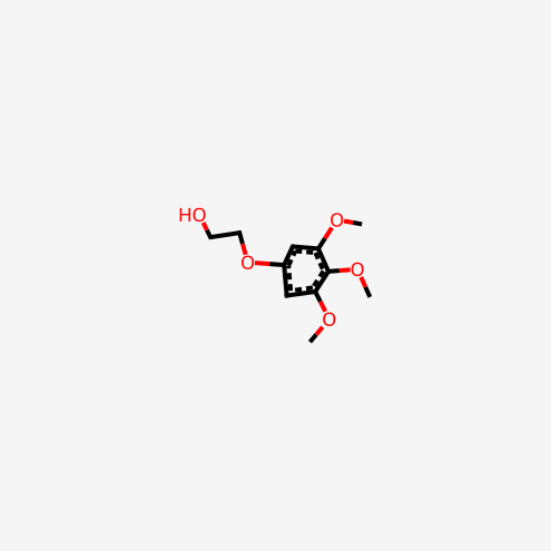 COc1cc(OCCO)cc(OC)c1OC